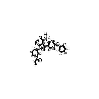 C=CC(=O)N1CCCC(n2nc(-c3cnc(Oc4ccccc4)nc3)c3c(N)ncnc32)C1